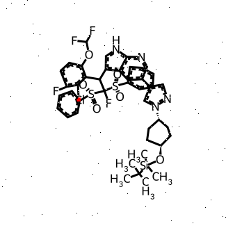 CC(C)(C)[Si](C)(C)O[C@H]1CC[C@H](n2cc(-c3cnc4[nH]cc(C(c5c(OC(F)F)ccc(F)c5Cl)C(F)(S(=O)(=O)c5ccccc5)S(=O)(=O)c5ccccc5)c4c3)cn2)CC1